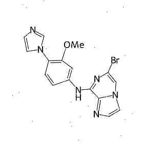 COc1cc(Nc2nc(Br)cn3ccnc23)ccc1-n1ccnc1